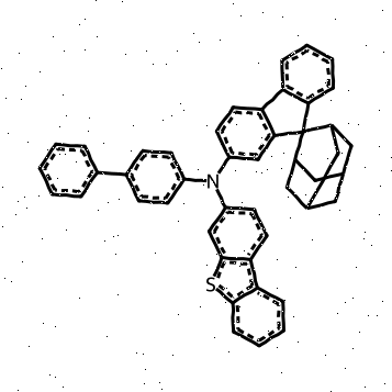 c1ccc(-c2ccc(N(c3ccc4c(c3)C3(c5ccccc5-4)C4CC5CC(C4)CC3C5)c3ccc4c(c3)sc3ccccc34)cc2)cc1